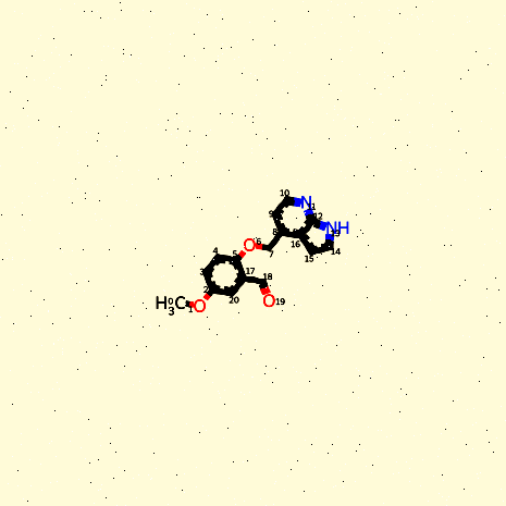 COc1ccc(OCc2ccnc3[nH]ccc23)c(C=O)c1